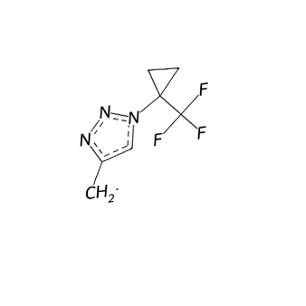 [CH2]c1cn(C2(C(F)(F)F)CC2)nn1